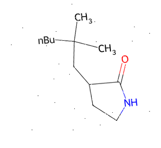 CCCCC(C)(C)CC1CCNC1=O